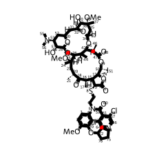 COc1ccc(N(CCS[C@@H]2C(=O)O[C@@]3(C)[C@H]2[C@@H](C)C(=O)[C@H](C)C[C@@](C)(OC)[C@@H]2O[C@@H]4O[C@H](C[C@@H]5O[C@H](C[C@@](C)(OC)[C@H]5O)O[C@@H]([C@@H]2C)[C@@H](C)C(=O)O[C@@H]3I)C[C@H](N(C)C)[C@H]4O)C(=O)c2c(Cl)cncc2Cl)cc1OC1CCCC1